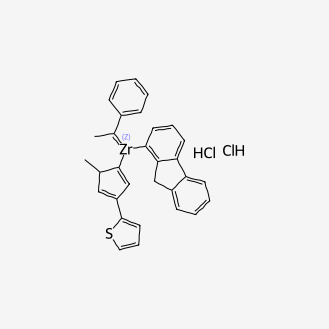 C/[C](c1ccccc1)=[Zr](\[C]1=CC(c2cccs2)=CC1C)[c]1cccc2c1Cc1ccccc1-2.Cl.Cl